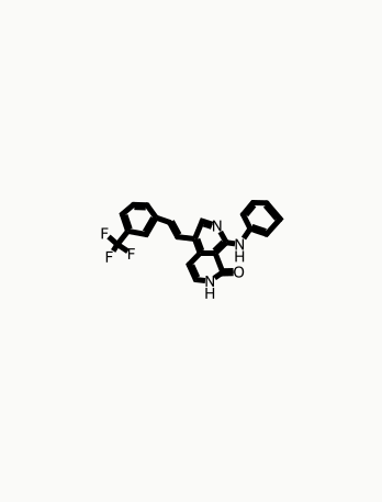 O=c1[nH]ccc2c(C=Cc3cccc(C(F)(F)F)c3)cnc(Nc3ccccc3)c12